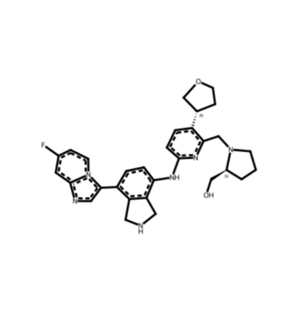 OC[C@@H]1CCCN1Cc1nc(Nc2ccc(-c3cnc4cc(F)ccn34)c3c2CNC3)ccc1[C@H]1CCOC1